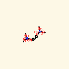 C=COC(=O)CN(CC(=O)OC=C)CC(O)COc1ccc(Cc2ccc(OCC(O)CN(CC(=O)OCC)CC(=O)OCC)cc2)cc1